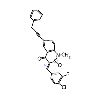 CN1c2ccc(C#CCc3ccccc3)cc2C(=O)/C(=C/c2ccc(Cl)c(F)c2)[S+]1[O-]